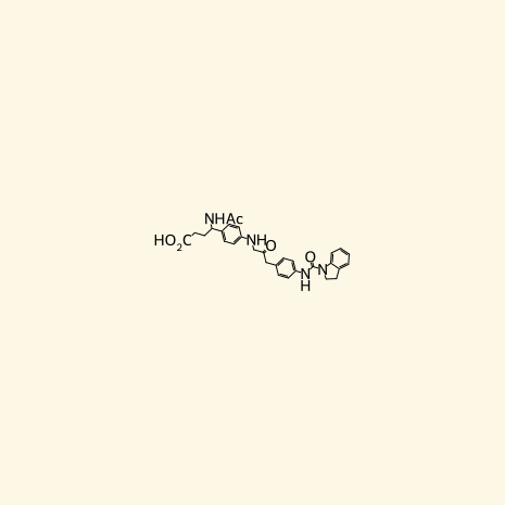 CC(=O)NC(CCC(=O)O)c1ccc(NCC(=O)Cc2ccc(NC(=O)N3CCc4ccccc43)cc2)cc1